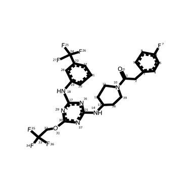 O=C(Cc1ccc(F)cc1)N1CCC(Nc2nc(Nc3cccc(C(F)(F)F)c3)nc(OCC(F)(F)F)n2)CC1